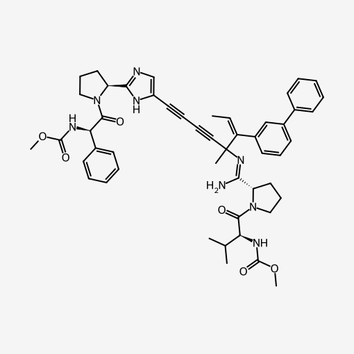 C/C=C(/c1cccc(-c2ccccc2)c1)C(C)(C#CC#Cc1cnc([C@@H]2CCCN2C(=O)[C@H](NC(=O)OC)c2ccccc2)[nH]1)/N=C(\N)[C@@H]1CCCN1C(=O)[C@@H](NC(=O)OC)C(C)C